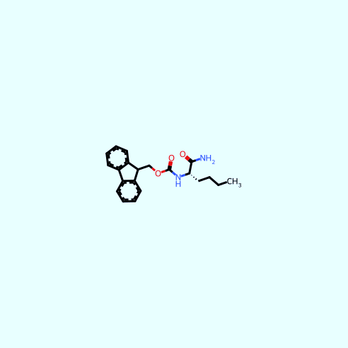 CCCC[C@H](NC(=O)OCC1c2ccccc2-c2ccccc21)C(N)=O